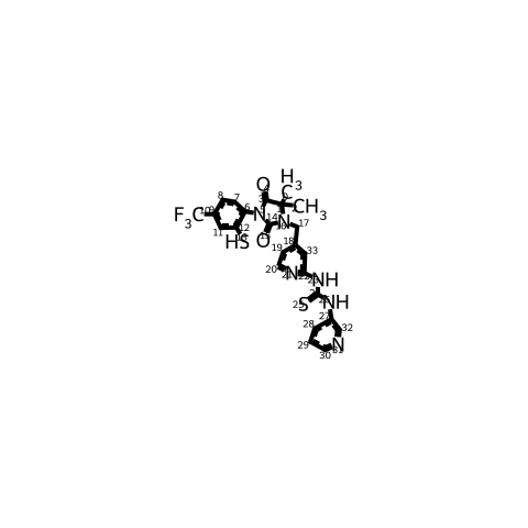 CC1(C)C(=O)N(c2ccc(C(F)(F)F)cc2S)C(=O)N1Cc1ccnc(NC(=S)Nc2cccnc2)c1